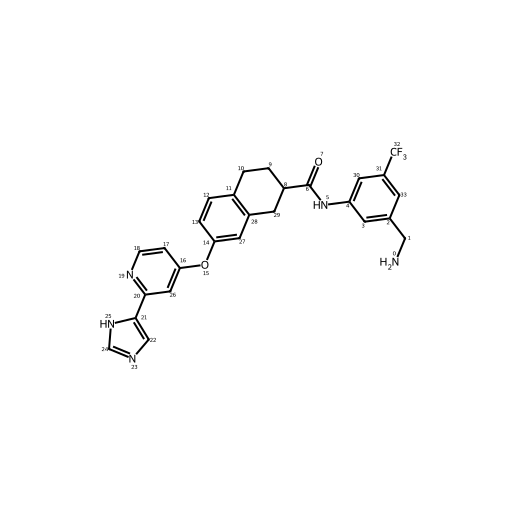 NCc1cc(NC(=O)C2CCc3ccc(Oc4ccnc(-c5cnc[nH]5)c4)cc3C2)cc(C(F)(F)F)c1